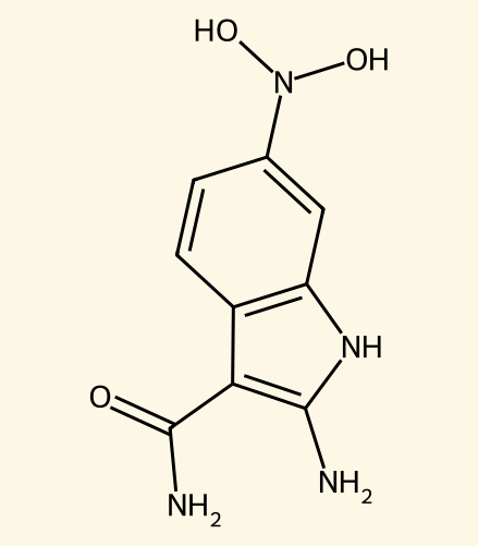 NC(=O)c1c(N)[nH]c2cc(N(O)O)ccc12